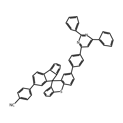 N#Cc1ccc(-c2ccc3c(c2)C2(c4ccccc4Sc4ccc(-c5ccc(-c6cc(-c7ccccc7)nc(-c7ccccc7)n6)cc5)cc42)c2ccccc2-3)cc1